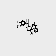 Fc1ccc(Nc2ncc(Br)c(N3NCC=C3C(F)(F)F)n2)cc1Cl